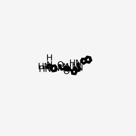 O=C(Cc1nnc(C2CCc3cnc(NC4Cc5ccccc5C4)nc32)o1)N1CCC2=C(C1)NNN2